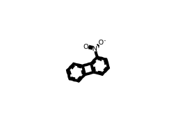 O=[N+]([O-])c1cccc2c1-c1ccccc1-2